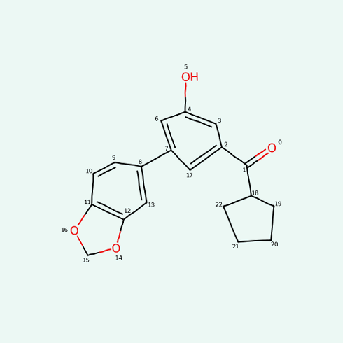 O=C(c1cc(O)cc(-c2ccc3c(c2)OCO3)c1)C1CCCC1